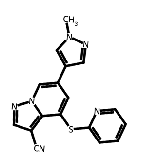 Cn1cc(-c2cc(Sc3ccccn3)c3c(C#N)cnn3c2)cn1